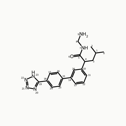 CC(C)CC(C(=O)NCN)c1cccc(-c2ccc(-c3nnn[nH]3)cc2)c1